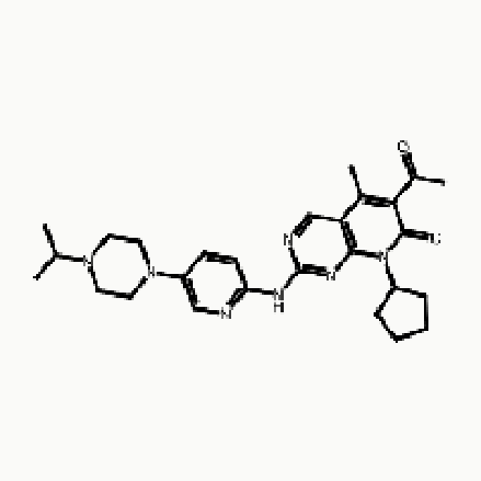 CC(=O)c1c(C)c2cnc(Nc3ccc(N4CCN(C(C)C)CC4)cn3)nc2n(C2CCCC2)c1=O